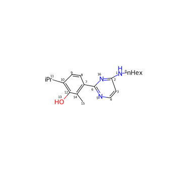 CCCCCCNc1ccnc(-c2ccc(C(C)C)c(O)c2C)n1